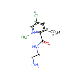 Cl.NCCNC(=O)c1ncc(Cl)cc1C(=O)O